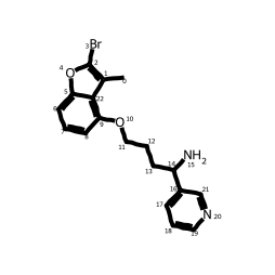 Cc1c(Br)oc2cccc(OCCCC(N)c3cccnc3)c12